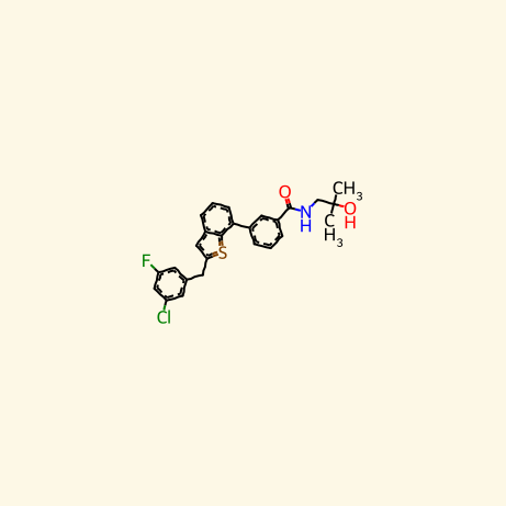 CC(C)(O)CNC(=O)c1cccc(-c2cccc3cc(Cc4cc(F)cc(Cl)c4)sc23)c1